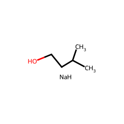 CC(C)CCO.[NaH]